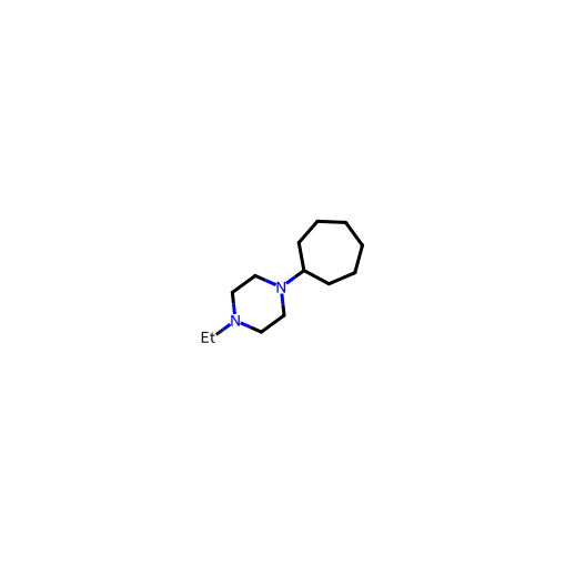 CCN1CCN(C2CCCCCC2)CC1